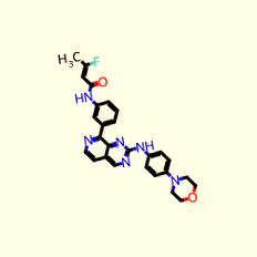 C/C(F)=C/C(=O)Nc1cccc(-c2nccc3cnc(Nc4ccc(N5CCOCC5)cc4)nc23)c1